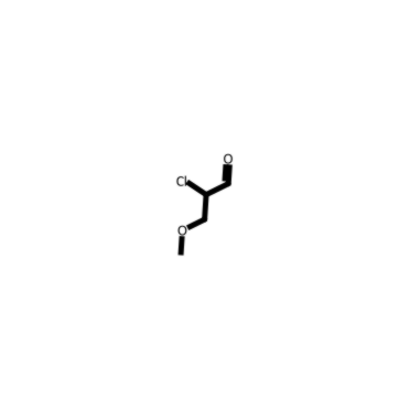 COCC(Cl)C=O